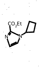 CCOC(=O)c1nccn1C1CCC1